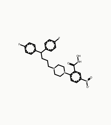 O=C(NO)c1cc([N+](=O)[O-])ccc1N1CCN(CCCC(c2ccc(F)cc2)c2ccc(F)cc2)CC1